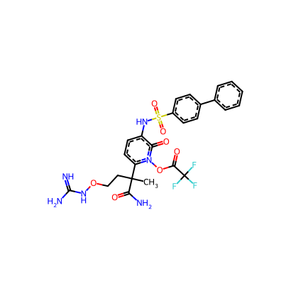 CC(CCONC(=N)N)(C(N)=O)c1ccc(NS(=O)(=O)c2ccc(-c3ccccc3)cc2)c(=O)n1OC(=O)C(F)(F)F